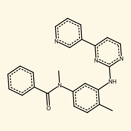 Cc1ccc(N(C)C(=O)c2ccccc2)cc1Nc1nccc(-c2cccnc2)n1